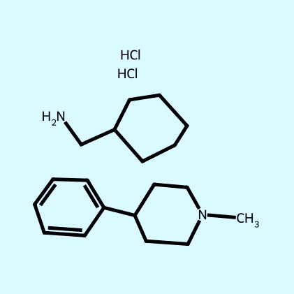 CN1CCC(c2ccccc2)CC1.Cl.Cl.NCC1CCCCC1